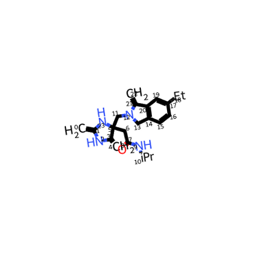 C=C1NC(=C)C(CC(=O)NC(C)C)(CN2Cc3ccc(CC)cc3C2=C)N1